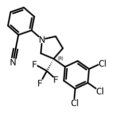 N#Cc1ccccc1N1CC[C@](c2cc(Cl)c(Cl)c(Cl)c2)(C(F)(F)F)C1